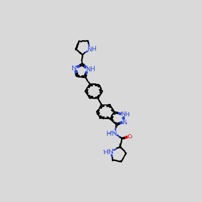 O=C(Nc1n[nH]c2cc(-c3ccc(-c4cnc(C5CCCN5)[nH]4)cc3)ccc12)C1CCCN1